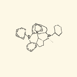 C[C@H](C1CCCC1c1ccccc1P(c1ccccc1)c1ccccc1)P(C1CCCCC1)C1CCCCC1